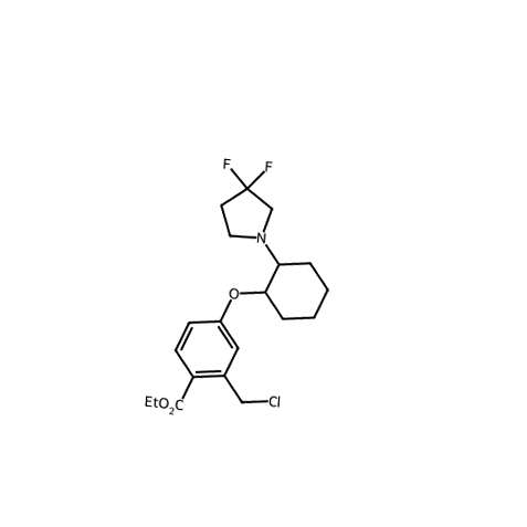 CCOC(=O)c1ccc(OC2CCCCC2N2CCC(F)(F)C2)cc1CCl